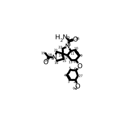 COC1C=CCC(OC2C=CC3C(C2)C2(CCN(C(C)=O)C2)CN3C(N)=O)C1